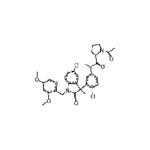 COc1ccc(CN2C(=O)C(C)(c3cc(N(C)C(=O)C4CCCN4C(C)=O)ccc3Cl)c3cc(Cl)ccc32)c(OC)c1